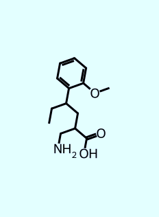 CCC(CC(CN)C(=O)O)c1ccccc1OC